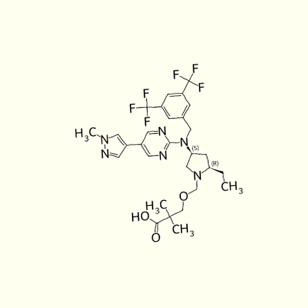 CC[C@@H]1C[C@H](N(Cc2cc(C(F)(F)F)cc(C(F)(F)F)c2)c2ncc(-c3cnn(C)c3)cn2)CN1COCC(C)(C)C(=O)O